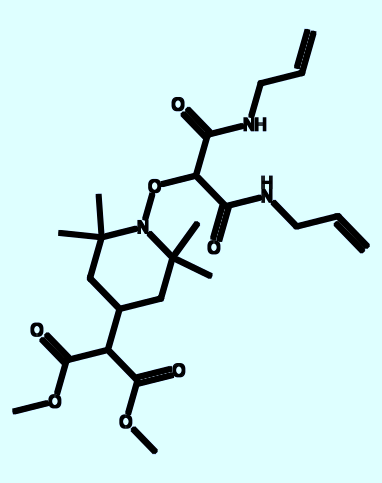 C=CCNC(=O)C(ON1C(C)(C)CC(C(C(=O)OC)C(=O)OC)CC1(C)C)C(=O)NCC=C